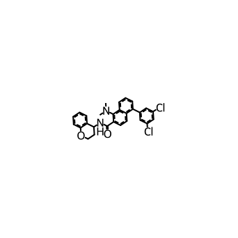 CN(C)c1c(C(=O)NC2CCOc3ccccc32)ccc2c(-c3cc(Cl)cc(Cl)c3)cccc12